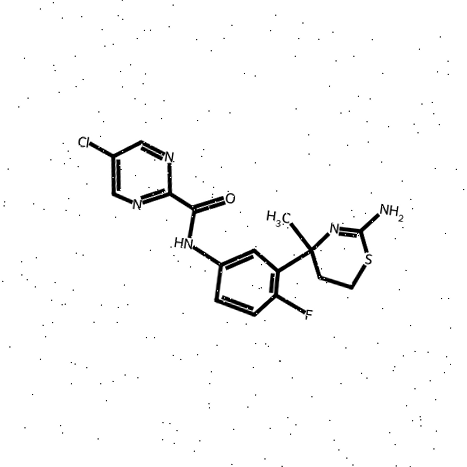 CC1(c2cc(NC(=O)c3ncc(Cl)cn3)ccc2F)CCSC(N)=N1